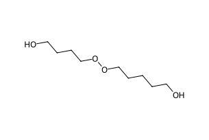 OCCCCCOOCCCCO